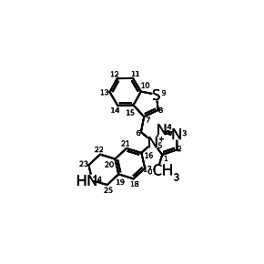 CC1=CN=N[N+]1(Cc1csc2ccccc12)c1ccc2c(c1)CCNC2